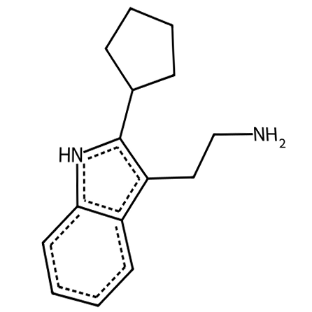 NCCc1c(C2CCCC2)[nH]c2ccccc12